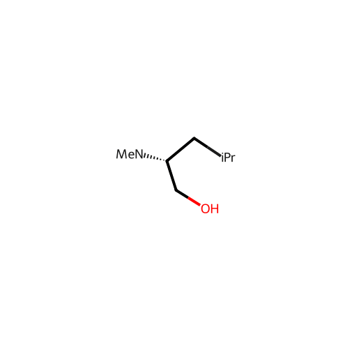 CN[C@@H](CO)CC(C)C